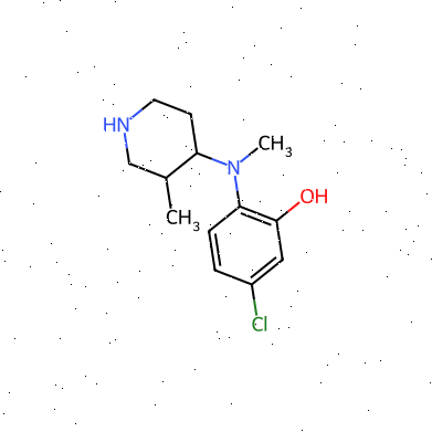 CC1CNCCC1N(C)c1ccc(Cl)cc1O